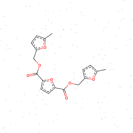 Cc1ccc(COC(=O)c2ccc(C(=O)OCc3ccc(C)o3)o2)o1